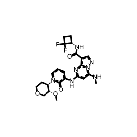 CNc1cc(Nc2cccn([C@H]3CCOC[C@H]3OC)c2=O)nc2c(C(=O)N[C@H]3CCC3(F)F)cnn12